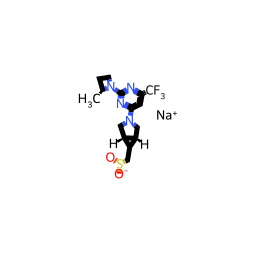 C[C@H]1CCN1c1nc(N2C[C@@H]3C(CS(=O)[O-])[C@@H]3C2)cc(C(F)(F)F)n1.[Na+]